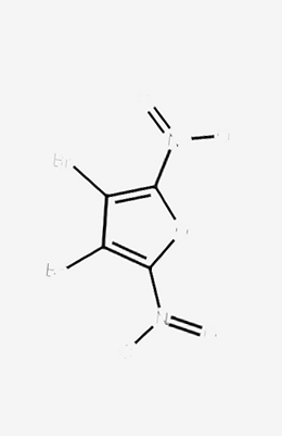 O=[N+]([O-])c1oc([N+](=O)[O-])c(Br)c1Br